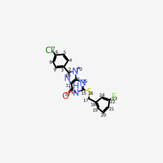 Cn1c(-c2ccc(Cl)cc2)nc2c(=O)[nH]c(SCc3cccc(F)c3)nc21